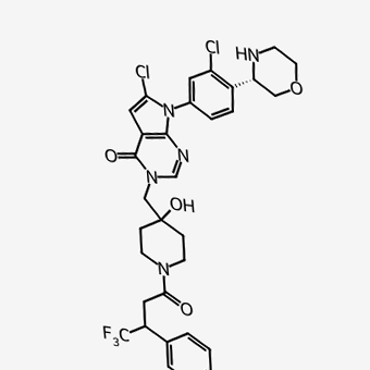 O=C(CC(c1ccccc1)C(F)(F)F)N1CCC(O)(Cn2cnc3c(cc(Cl)n3-c3ccc([C@H]4COCCN4)c(Cl)c3)c2=O)CC1